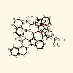 CCCN(Cc1nc2cccc(N3CC[C@@H](N(C)C)C3)n2c1C(O)C(O)c1c(CN(CCC)[C@H]2CCCc3cccnc32)nc2cccc(N3CC[C@@H](N(C)C)C3)n12)[C@H]1CCCc2cccnc21